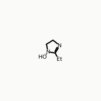 CCC1=NCCN1O